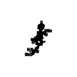 CNC(=O)c1c(-c2ccc(F)cc2)oc2cc3c(cc12)[C@H](C)O[C@H](COC(=O)[C@@H](N)COC)CN3S(C)(=O)=O